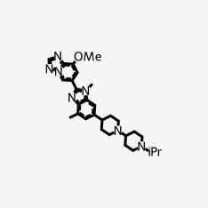 COc1cc(-c2nc3c(C)cc(C4CCN(C5CCN(C(C)C)CC5)CC4)cc3n2C)cn2ncnc12